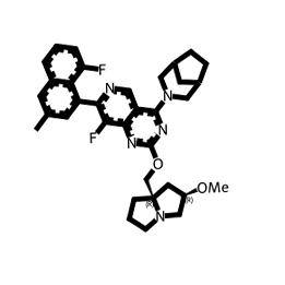 CO[C@H]1CN2CCC[C@]2(COc2nc(N3CC4CCC(C4)C3)c3cnc(-c4cc(C)cc5cccc(F)c45)c(F)c3n2)C1